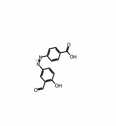 O=Cc1cc(/N=N\c2ccc(C(=O)O)cc2)ccc1O